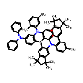 Cc1ccc(C(C)(C)C)cc1N1c2cc(N(c3ccccc3)c3ccccc3)ccc2B2c3cc4c(cc3N(c3ccc(C(C)(C)C)cc3-c3ccc5c(c3)C(C)(C)CC5(C)C)c3cc(C(C)(C)C)cc1c32)C(C)(C)CC4(C)C